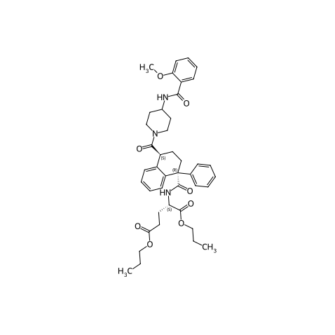 CCCOC(=O)CC[C@H](NC(=O)[C@@]1(c2ccccc2)CC[C@H](C(=O)N2CCC(NC(=O)c3ccccc3OC)CC2)c2ccccc21)C(=O)OCCC